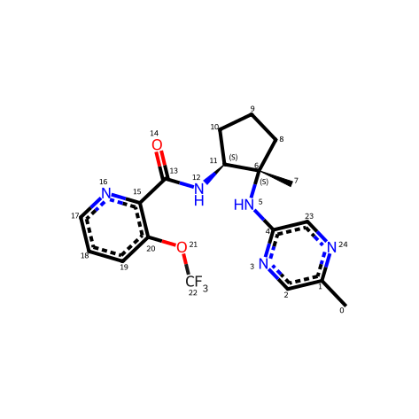 Cc1cnc(N[C@@]2(C)CCC[C@@H]2NC(=O)c2ncccc2OC(F)(F)F)cn1